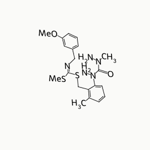 COc1cccc(C/N=C(/SC)SCc2c(C)cccc2N(N)C(=O)N(C)N)c1